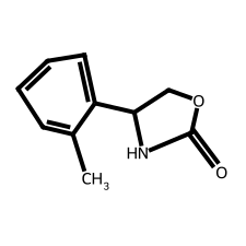 Cc1ccccc1C1COC(=O)N1